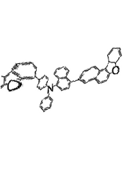 C1=CC2Oc3ccc4cc(-c5ccc(N(c6ccccc6)c6ccc(-c7cccc8c7oc7ccccc78)cc6)c6ccccc56)ccc4c3C2C=C1